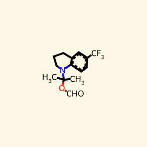 CC(C)(OC=O)N1CCCc2cc(C(F)(F)F)ccc21